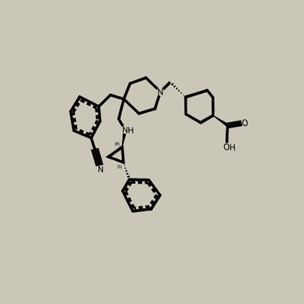 N#Cc1cccc(CC2(CN[C@@H]3C[C@H]3c3ccccc3)CCN(C[C@H]3CC[C@H](C(=O)O)CC3)CC2)c1